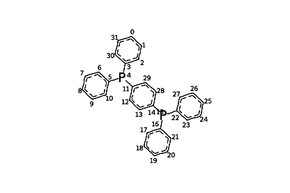 c1ccc(P(c2ccccc2)c2ccc(P(c3ccccc3)c3ccccc3)cc2)cc1